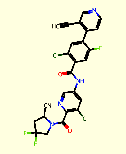 C#Cc1cnccc1-c1cc(Cl)c(C(=O)Nc2cnc(C(=O)N3CC(F)(F)C[C@H]3C#N)c(Cl)c2)cc1F